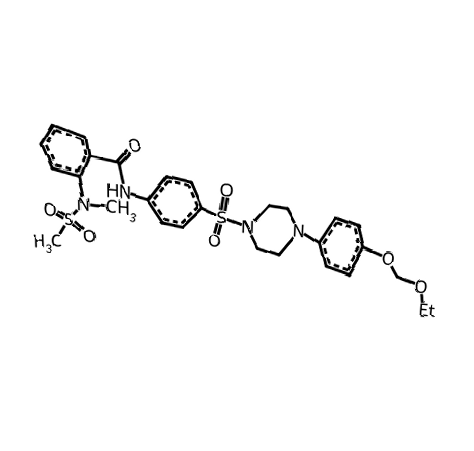 CCOCOc1ccc(N2CCN(S(=O)(=O)c3ccc(NC(=O)c4ccccc4N(C)S(C)(=O)=O)cc3)CC2)cc1